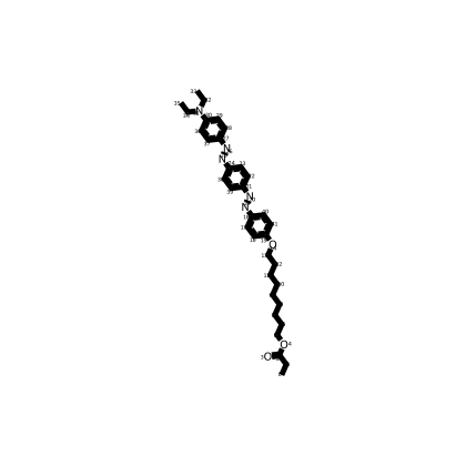 CCC(=O)OCCCCCCCCCOc1ccc(N=Nc2ccc(N=Nc3ccc(N(CC)CC)cc3)cc2)cc1